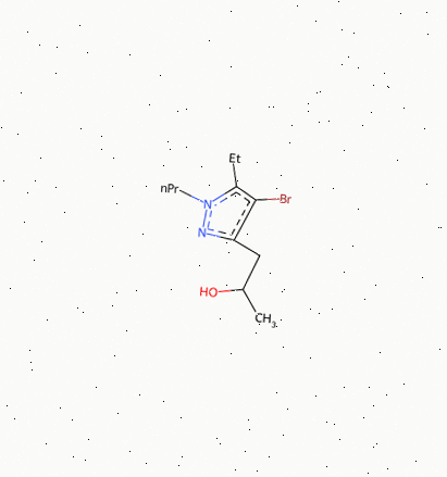 CCCn1nc(CC(C)O)c(Br)c1CC